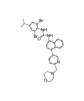 CC(C)c1cc(Br)c(NC(=O)Nc2ccc(-c3ccc(CN4CCOCC4)nc3)c3ccccc23)c(Br)c1